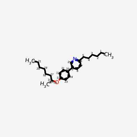 CCCCCCc1ccc(-c2ccc(O[C@@H](C)CCCCCC)cc2)cn1